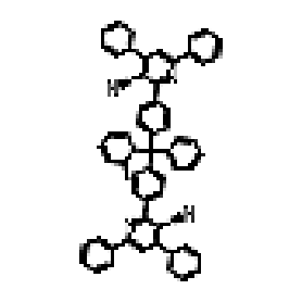 CC1C=CC=CC1C(c1ccccc1)(c1ccc(-c2nc(-c3ccccc3)cc(-c3ccccc3)c2C#N)cc1)c1ccc(-c2nc(-c3ccccc3)cc(-c3ccccc3)c2C#N)cc1